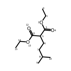 CCOC(=O)C(CCC(C)C)C(=O)OCC